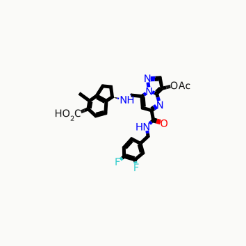 CC(=O)Oc1cnn2c(CN[C@H]3CCc4c3ccc(C(=O)O)c4C)cc(C(=O)NCc3ccc(F)c(F)c3)nc12